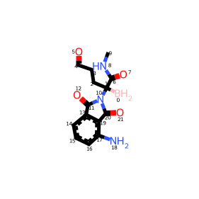 BC(CCC=O)(C(=O)NC)N1C(=O)c2cccc(N)c2C1=O